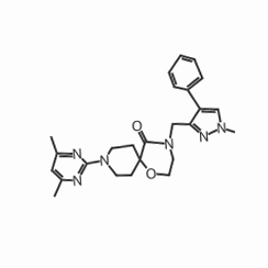 Cc1cc(C)nc(N2CCC3(CC2)OCCN(Cc2nn(C)cc2-c2ccccc2)C3=O)n1